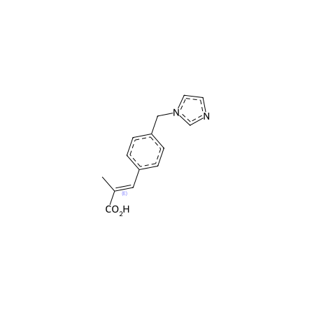 C/C(=C\c1ccc(Cn2ccnc2)cc1)C(=O)O